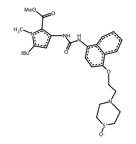 COC(=O)c1c(NC(=O)Nc2ccc(OCCN3CC[S+]([O-])CC3)c3ccccc23)cc(C(C)(C)C)n1C